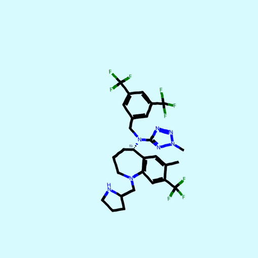 Cc1cc2c(cc1C(F)(F)F)N(CC1CCCN1)CCC[C@@H]2N(Cc1cc(C(F)(F)F)cc(C(F)(F)F)c1)c1nnn(C)n1